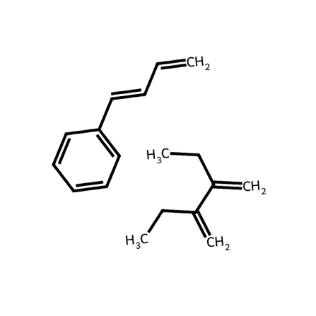 C=C(CC)C(=C)CC.C=CC=Cc1ccccc1